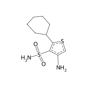 Nc1csc(C2CCCCC2)c1S(N)(=O)=O